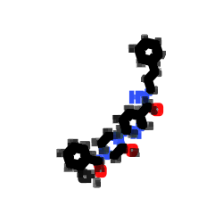 O=C(NCCCc1ccccc1)c1ccc(N2CCN(C(=O)c3ccccc3C(F)(F)F)CC2=O)nc1